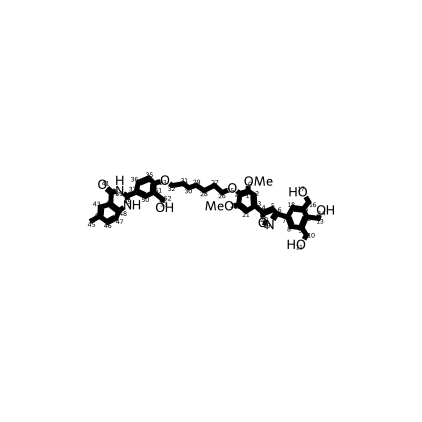 COc1cc(-c2cc(-c3cc(CO)c(CO)c(CO)c3)no2)cc(OC)c1OCCCCCCCOc1ccc(C2NC(=O)c3cc(C)ccc3N2)cc1CO